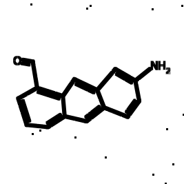 Nc1ccc2cc3cccc(C=O)c3cc2c1